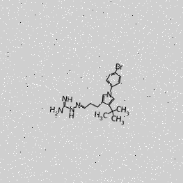 CC(C)(C)c1cn(-c2ccc(Br)cc2)cc1CCC=NNC(=N)N